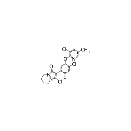 Cc1cnc(Oc2cc(-c3c(Cl)n4n(c3=O)CCCC4)c(F)cc2Cl)c(Cl)c1